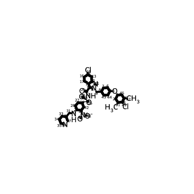 Cc1cc(Oc2ccc(Cn3nc4cc(Cl)ccc4c3C(=O)NS(=O)(=O)c3ccc(NCc4cccnc4)c([N+](=O)[O-])c3)cc2)cc(C)c1Cl